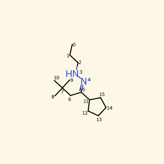 CCCN/N=C(\CC(C)(C)C)C1CCCC1